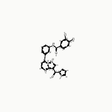 O=C(Nc1cccc(-c2ccnc3c(C(=O)c4cccs4)cnn23)c1)c1ccc(Cl)c(Cl)c1